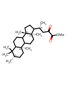 COC(=O)C(=O)C[C@@H](C)C1CC[C@@]2(C)C3CCC4C(C)(C)[C@@H](C)CC[C@]4(C)C3CC[C@]12C